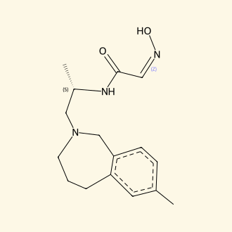 Cc1ccc2c(c1)CCCN(C[C@H](C)NC(=O)/C=N\O)C2